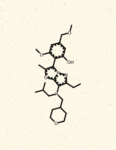 CCc1nn2c(-c3c(O)cc(COC)cc3OC)c(C)oc2c1N(CC(C)C)CC1CCOCC1